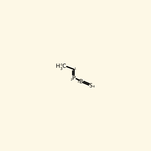 CC=PB=S